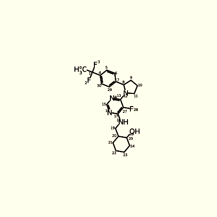 CC(F)(F)c1ccc(C2CCCN2c2ncnc(NCC3CCCCC3O)c2F)cc1